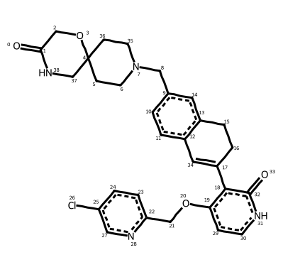 O=C1COC2(CCN(Cc3ccc4c(c3)CCC(c3c(OCc5ccc(Cl)cn5)cc[nH]c3=O)=C4)CC2)CN1